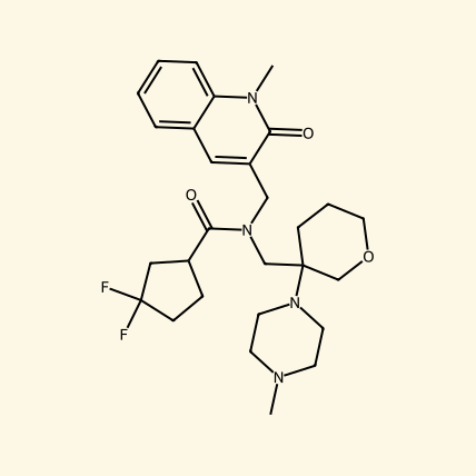 CN1CCN(C2(CN(Cc3cc4ccccc4n(C)c3=O)C(=O)C3CCC(F)(F)C3)CCCOC2)CC1